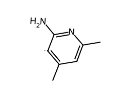 Cc1[c]c(N)nc(C)c1